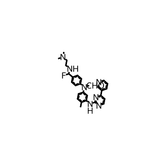 Cc1ccc(N(C=O)c2ccc(C(F)NCCN(C)C)cc2)cc1Nc1nccc(-c2cccnc2)n1